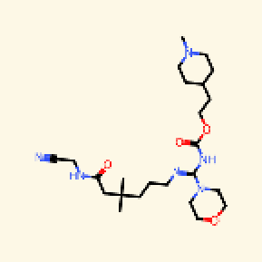 CN1CCC(CCOC(=O)NC(=NCCCC(C)(C)CC(=O)NCC#N)N2CCOCC2)CC1